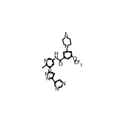 Cc1ncc(NC(=O)c2cc(OC(F)(F)F)cc(N3CCN(C)CC3)c2)cc1-n1cc(-c2cncnc2)nn1